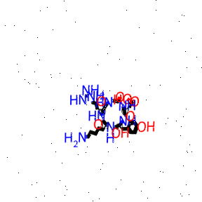 N=C(N)NCCC[C@@H]1NC(=O)[C@H](CCCCCN)NC(O)[C@@H](Cc2ccc(O)cc2)NC(=O)[C@@H](CC(=O)O)NC(=O)CNC1=O